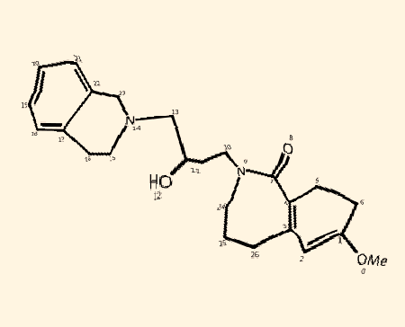 COC1=CC2=C(CC1)C(=O)N(CC(O)CN1CCc3ccccc3C1)CCC2